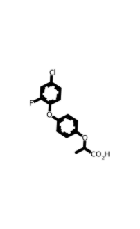 CC(Oc1ccc(Oc2ccc(Cl)cc2F)cc1)C(=O)O